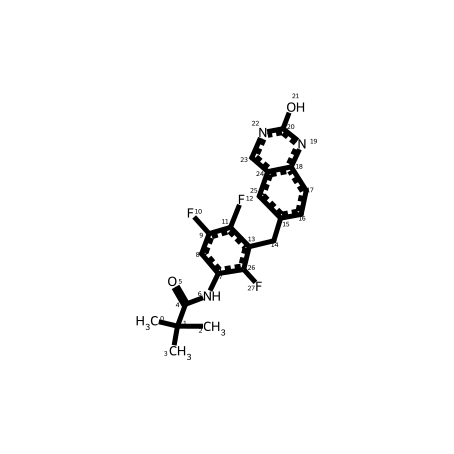 CC(C)(C)C(=O)Nc1cc(F)c(F)c(Cc2ccc3nc(O)ncc3c2)c1F